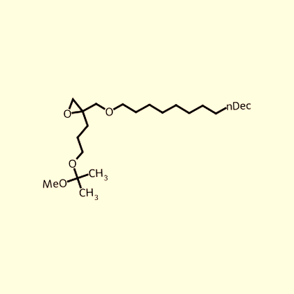 CCCCCCCCCCCCCCCCCCOCC1(CCCOC(C)(C)OC)CO1